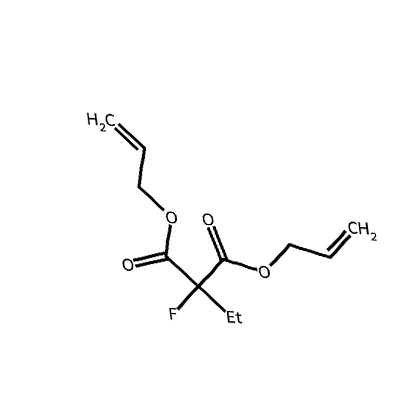 C=CCOC(=O)C(F)(CC)C(=O)OCC=C